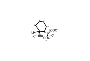 O=C([O-])CC(=O)[O-].[K+].[K+].[Li][C]1(C(C)(C)C)CCCCC1